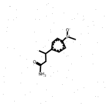 CC(CC(N)=O)c1ccc([S+](C)[O-])cc1